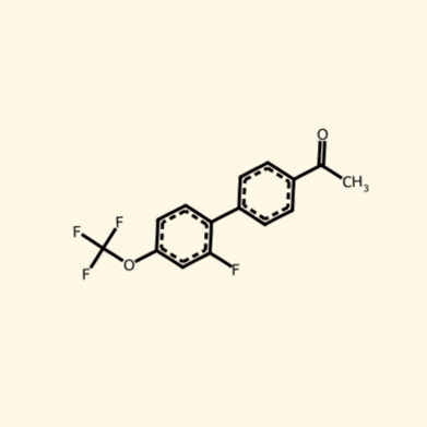 CC(=O)c1ccc(-c2ccc(OC(F)(F)F)cc2F)cc1